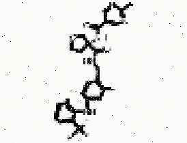 Cc1ncc(C(=O)N[C@@]2(C(=O)NCc3ccc(Nc4c(F)cccc4C(F)(F)F)cc3F)CCOC2)cn1